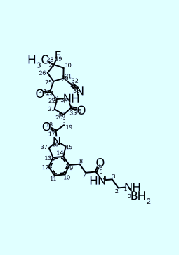 BNCCNC(=O)CCc1cccc2c1CN(C(=O)C[C@@H]1C[C@@H](C(=O)C3CC(C)(F)C[C@H]3C#N)NC1=O)C2